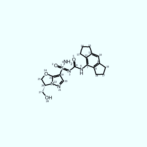 N[S@](=O)(=NC(=O)Nc1c2c(cc3c1CCC3)CCC2)c1cnn2c1OC[C@H]2CO